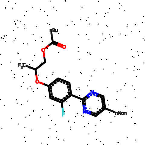 CCCCCCCCCc1cnc(-c2ccc(OC(COC(=O)CCCC)C(F)(F)F)cc2F)nc1